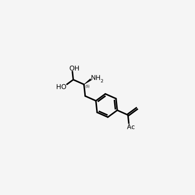 C=C(C(C)=O)c1ccc(C[C@H](N)C(O)O)cc1